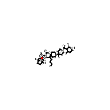 CCCCC1CN(C[C@@H]2C[C@H]3CC[C@@H](C2)N3C(=O)OC)C(=O)OC12CCN(C1(C)CCN(C(=O)C3C(C)CCN[C@H]3C)CC1)CC2